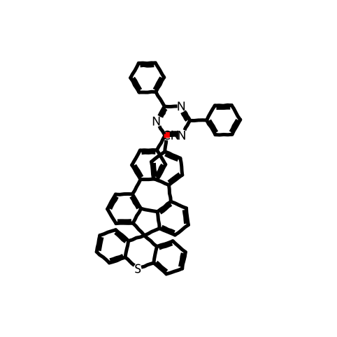 N#Cc1ccc(-c2cccc3c2-c2c(-c4ccc(-c5nc(-c6ccccc6)nc(-c6ccccc6)n5)cc4)cccc2C32c3ccccc3Sc3ccccc32)cc1